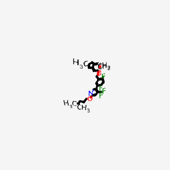 C=C(/C=C1/CC(C)C/C1=C/C)OCc1cc(-c2cnc(OCCCC(C)C)cc2C(F)(F)F)ccc1F